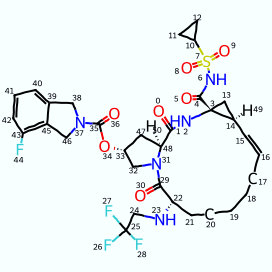 O=C1N[C@]2(C(=O)NS(=O)(=O)C3CC3)C[C@H]2/C=C\CCCCC[C@H](NCC(F)(F)F)C(=O)N2C[C@H](OC(=O)N3Cc4cccc(F)c4C3)C[C@@H]12